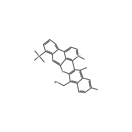 Cc1ccc2c(CC(C)C)c3c(c(C)c2c1)-c1c2c(cc4c([Si](C)(C)C)cccc4c2cc[n+]1C)S3